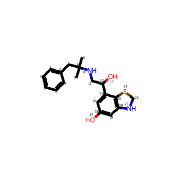 CC(C)(Cc1ccccc1)NCC(O)c1cc(O)cc2c1SCN2